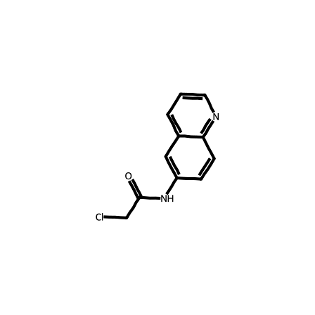 O=C(CCl)Nc1ccc2ncccc2c1